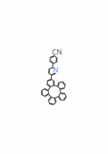 N#Cc1ccc(-c2ccc(-c3ccc4c5ccccc5c5ccccc5c5ccccc5c5ccccc5c4c3)cn2)cc1